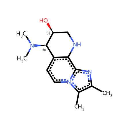 Cc1nc2c3c(ccn2c1C)[C@@H](N(C)C)[C@@H](O)CN3